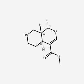 COC(=O)C1=CO[C@@H](C)[C@H]2CNCC[C@H]12